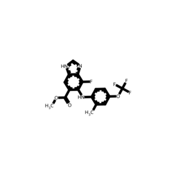 COC(=O)c1cc2[nH]cnc2c(F)c1Nc1ccc(OC(F)(F)F)cc1C